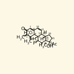 C=C1C(=C)[C@@]2(C)C(=CC1=O)C=C[C@@H]1[C@@H]2C(F)C[C@@]2(C)[C@H]1CC[C@]2(O)C(C)=O